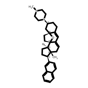 CN1CCN([C@H]2CCC3=CC4=CC[C@]5(C)[C@@H](c6ccc7ccccc7c6)CC[C@H]5[C@@]45CC[C@]3(C2)O5)CC1